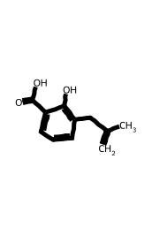 C=C(C)Cc1cccc(C(=O)O)c1O